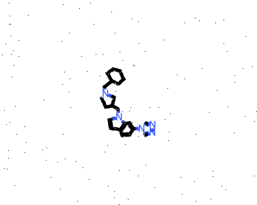 c1cc2ccn(CC3CCN(CC4CCCCC4)C3)c2cc1-n1cnnc1